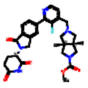 CC(C)(C)OC(=O)N1C[C@H]2CN(Cc3ccnc(-c4ccc5c(c4)CN([C@H]4CCC(=O)NC4=O)C5=O)c3F)C[C@H]2C1